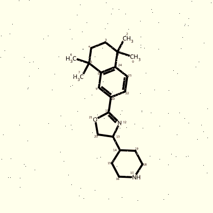 CC1(C)CCC(C)(C)c2cc(C3=NC(C4CCNCC4)CO3)ccc21